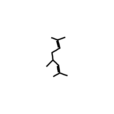 CC(C)=CCC(C)C=C(C)C